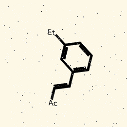 CCc1cccc(C=CC(C)=O)c1